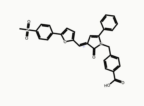 CS(=O)(=O)c1ccc(-c2ccc(/C=C3\C=C(c4ccccc4)N(Cc4ccc(C(=O)O)cc4)C3=O)o2)cc1